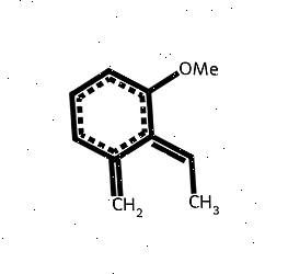 C=c1cccc(OC)/c1=C/C